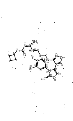 N/C(=N/C(=O)CC1CCC1)NCCCNc1nonc1-c1noc(=O)n1-c1ccc(F)c(Br)c1